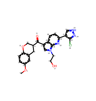 COc1ccc2c(c1)CC(C(=O)c1cn(CCO)c3nc(-c4c[nH]nc4Cl)ccc13)CO2